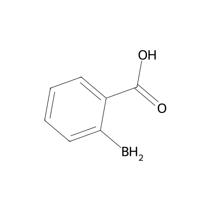 Bc1ccccc1C(=O)O